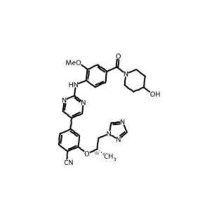 COc1cc(C(=O)N2CCC(O)CC2)ccc1Nc1ncc(-c2ccc(C#N)c(O[C@@H](C)Cn3cncn3)c2)cn1